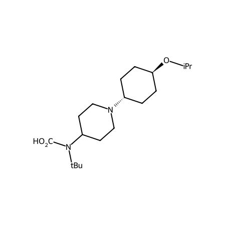 CC(C)O[C@H]1CC[C@H](N2CCC(N(C(=O)O)C(C)(C)C)CC2)CC1